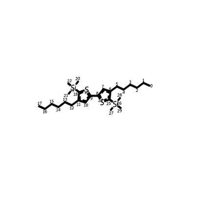 CCCCCCc1cc(-c2cc(CCCCCC)c([Si](C)(C)C)s2)sc1[Si](C)(C)C